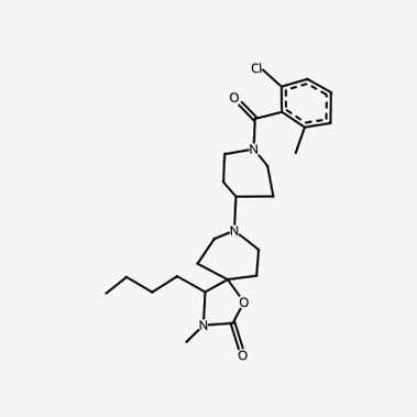 CCCCC1N(C)C(=O)OC12CCN(C1CCN(C(=O)c3c(C)cccc3Cl)CC1)CC2